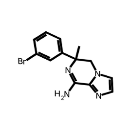 CC1(c2cccc(Br)c2)Cn2ccnc2C(N)=N1